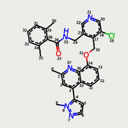 Cc1cc(-c2ccnn2C)c2cccc(OCc3c(Cl)cncc3CNC(=O)c3c(C)cccc3C)c2n1